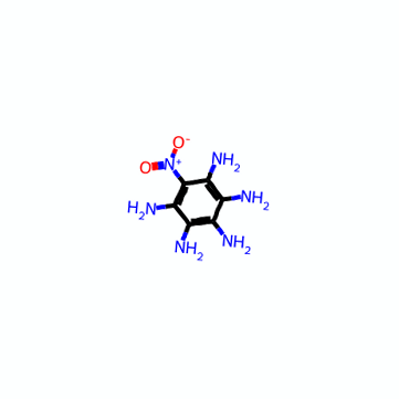 Nc1c(N)c(N)c([N+](=O)[O-])c(N)c1N